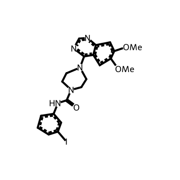 COc1cc2ncnc(N3CCN(C(=O)Nc4cccc(I)c4)CC3)c2cc1OC